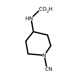 N#CN1CCC(NC(=O)O)CC1